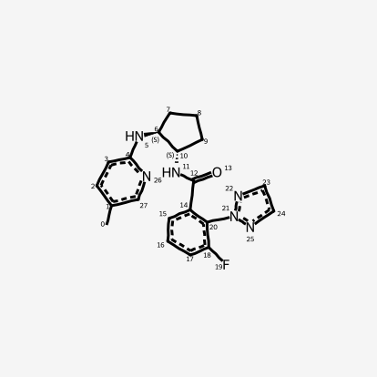 Cc1ccc(N[C@H]2CCC[C@@H]2NC(=O)c2cccc(F)c2-n2nccn2)nc1